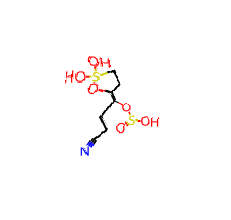 N#CCCC(OS(=O)O)C1CCS(O)(O)O1